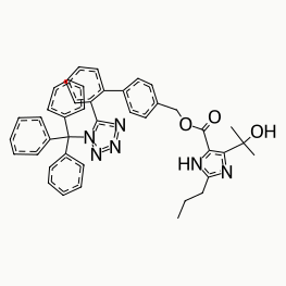 CCCc1nc(C(C)(C)O)c(C(=O)OCc2ccc(-c3ccccc3-c3nnnn3C(c3ccccc3)(c3ccccc3)c3ccccc3)cc2)[nH]1